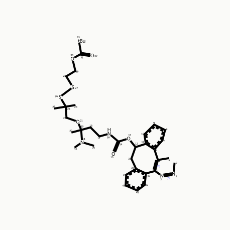 C/N=N\C1=C(/C)c2ccccc2C(OC(=O)NCCC(C)(OCC(C)(C)SSCCOC(=O)C(C)(C)C)N(C)C)Cc2ccccc21